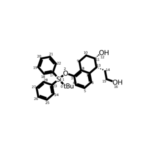 CC(C)(C)[Si](Oc1cccc2c1CC[C@H](O)[C@@H]2CCO)(c1ccccc1)c1ccccc1